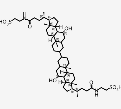 C[C@H](CCC(=O)NCCS(=O)(=O)O)[C@H]1CC[C@@H]2C3[C@@H](CC[C@@]21C)[C@@]1(C)CCC(C2CC[C@@]4(C)C(C2)C[C@H](O)C2[C@H]5CC[C@H]([C@H](C)CCC(=O)NCCS(=O)(=O)O)[C@@]5(C)CC[C@H]24)CC1C[C@@H]3O